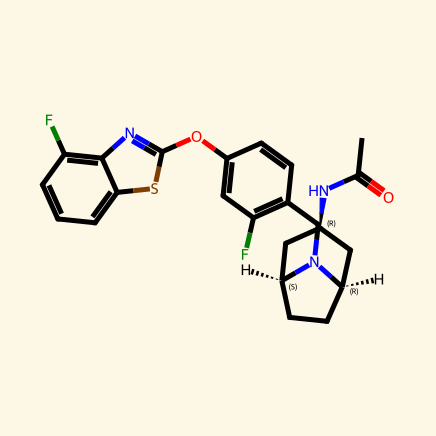 CC(=O)N[C@H]1C[C@H]2CC[C@@H](C1)N2Cc1ccc(Oc2nc3c(F)cccc3s2)cc1F